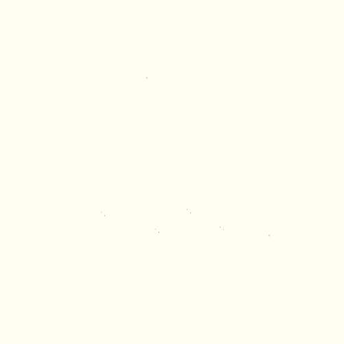 Nc1ccn(C2CN(CC(=O)O)CC(CO)O2)c(=O)n1.O=P(O)(O)O.O=P(O)(O)O.O=P(O)(O)O